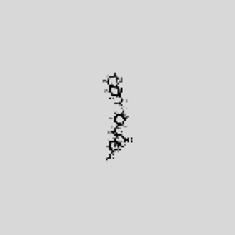 COc1ccc(C2(CC(=O)O)CC2c2ccc(OCCc3ccc4c(n3)NCCC4)cc2)cn1